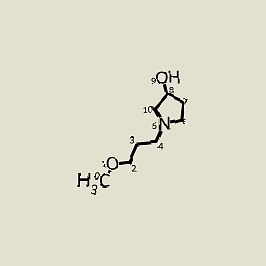 COCCCN1CCC(O)C1